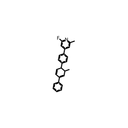 Cc1cc(-c2ccc(C3C=CC(c4ccccc4)=CC3C)cc2)cc(F)n1